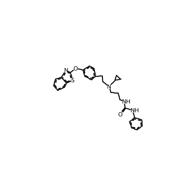 O=C(NCCCN(CCc1ccc(Oc2nc3ccccc3s2)cc1)C1CC1)Nc1ccccc1